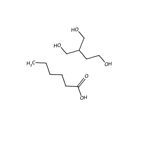 CCCCCC(=O)O.OCCC(CO)CO